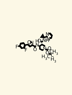 CC(C)(C)OC(=O)N1CC[C@@H](NC(=O)c2cc(-c3ccc(F)cc3F)on2)[C@H](C(=O)NC2(c3ncccn3)CC2)C1